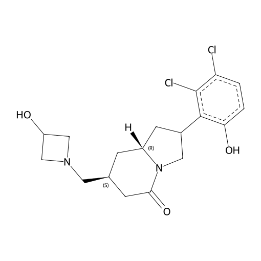 O=C1C[C@@H](CN2CC(O)C2)C[C@@H]2CC(c3c(O)ccc(Cl)c3Cl)CN12